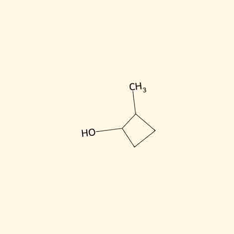 CC1CCC1O